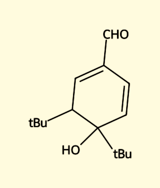 CC(C)(C)C1C=C(C=O)C=CC1(O)C(C)(C)C